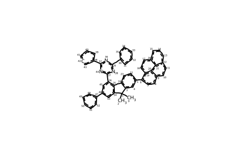 CC1(C)c2cc(-c3ccc4ccc5cccc6ccc3c4c56)ccc2-c2c(-c3nc(-c4ccccc4)nc(-c4ccccc4)n3)cc(-c3ccccc3)cc21